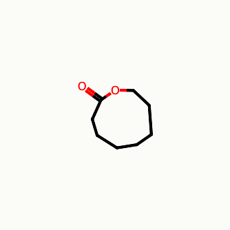 O=C1CCCCCCCO1